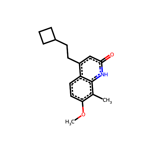 COc1ccc2c(CCC3CCC3)cc(=O)[nH]c2c1C